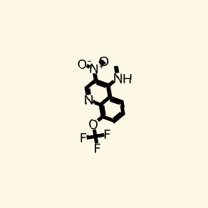 CNc1c([N+](=O)[O-])cnc2c(OC(F)(F)F)cccc12